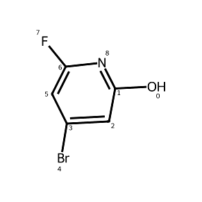 Oc1cc(Br)cc(F)n1